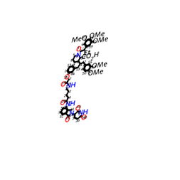 CC[C@H](C(=O)N1CCCC(C(Cc2cccc(OCC(=O)NCCCCC(=O)Nc3cccc4c3CN(C3CCC(=O)NC3=O)C4=O)c2)Cc2ccc(OC)c(OC)c2)[C@H]1C(=O)O)c1cc(OC)c(OC)c(OC)c1